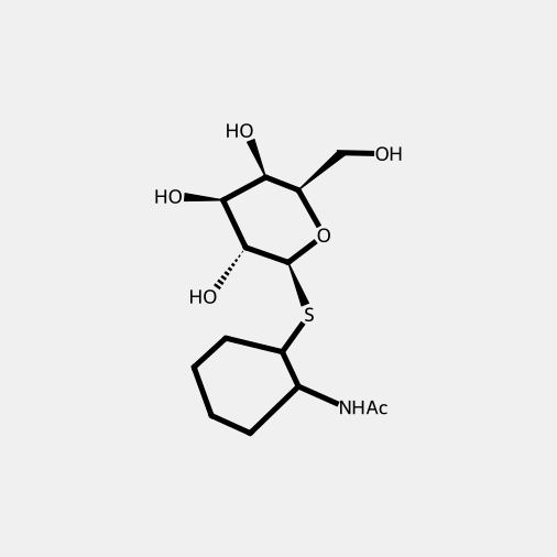 CC(=O)NC1CCCCC1S[C@@H]1O[C@H](CO)[C@H](O)[C@H](O)[C@H]1O